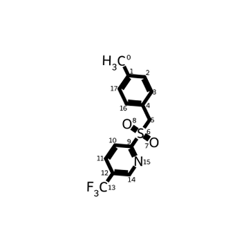 Cc1ccc(CS(=O)(=O)c2ccc(C(F)(F)F)cn2)cc1